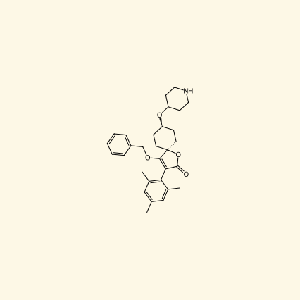 Cc1cc(C)c(C2=C(OCc3ccccc3)[C@]3(CC[C@H](OC4CCNCC4)CC3)OC2=O)c(C)c1